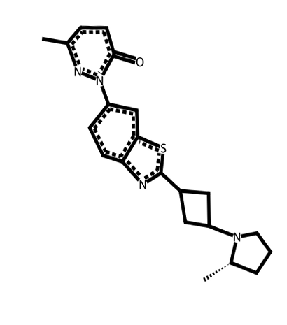 Cc1ccc(=O)n(-c2ccc3nc(C4CC(N5CCC[C@@H]5C)C4)sc3c2)n1